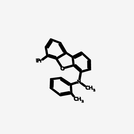 Cc1ccccc1N(C)c1cccc2c1oc1c(C(C)C)cccc12